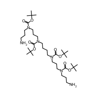 CC(C)(C)OC(=O)N(CCCN)CCCN(CCCCN(CCCN(CCCN)C(=O)OC(C)(C)C)C(=O)OC(C)(C)C)C(=O)OC(C)(C)C